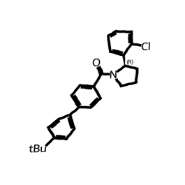 CC(C)(C)c1ccc(-c2ccc(C(=O)N3CCC[C@@H]3c3ccccc3Cl)cc2)cc1